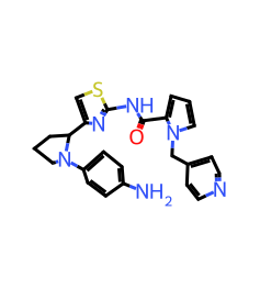 Nc1ccc(N2CCCC2c2csc(NC(=O)c3cccn3Cc3ccncc3)n2)cc1